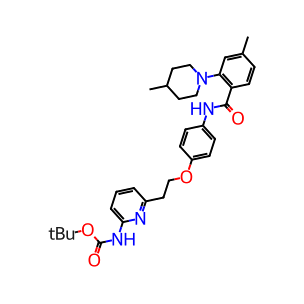 Cc1ccc(C(=O)Nc2ccc(OCCc3cccc(NC(=O)OC(C)(C)C)n3)cc2)c(N2CCC(C)CC2)c1